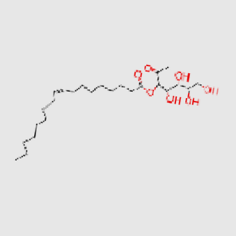 CCCCCCCC/C=C\CCCCCCCC(=O)O[C@@H](C(C)=O)[C@@H](O)[C@H](O)[C@H](O)CO